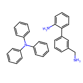 NCc1cccc(-c2ccccc2N)c1.c1ccc(N(c2ccccc2)c2ccccc2)cc1